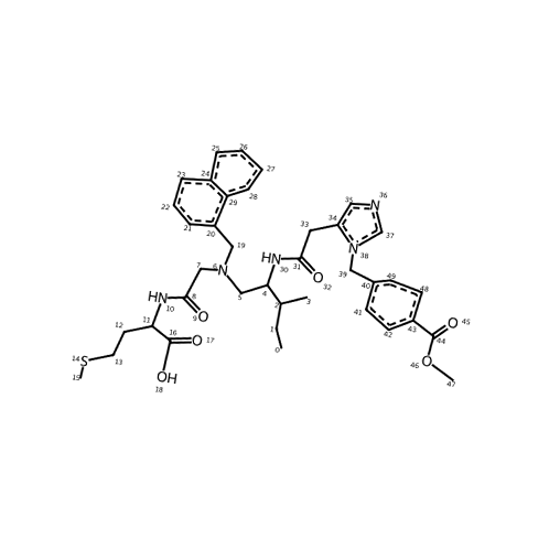 CCC(C)C(CN(CC(=O)NC(CCSC)C(=O)O)Cc1cccc2ccccc12)NC(=O)Cc1cncn1Cc1ccc(C(=O)OC)cc1